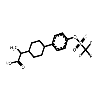 CC(C(=O)O)C1CCC(c2ccc(OS(=O)(=O)C(F)(F)F)cc2)CC1